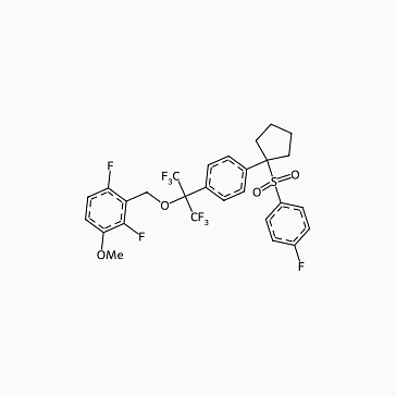 COc1ccc(F)c(COC(c2ccc(C3(S(=O)(=O)c4ccc(F)cc4)CCCC3)cc2)(C(F)(F)F)C(F)(F)F)c1F